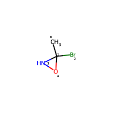 CC1(Br)NO1